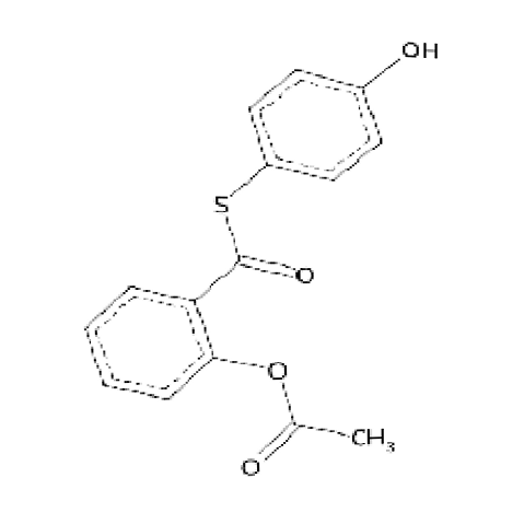 CC(=O)Oc1ccccc1C(=O)Sc1ccc(O)cc1